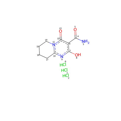 Cl.Cl.Cl.NC(=O)c1c(O)nc2n(c1=O)CCCC2